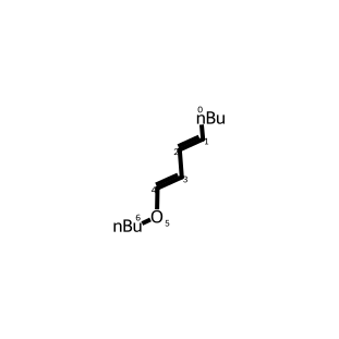 CCCCC=CC=COCCCC